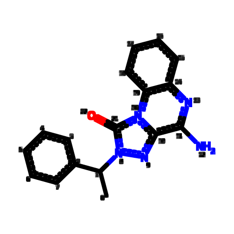 CC(c1ccccc1)n1nc2c(N)nc3ccccc3n2c1=O